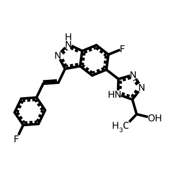 CC(O)c1nnc(-c2cc3c(/C=C/c4ccc(F)cc4)n[nH]c3cc2F)[nH]1